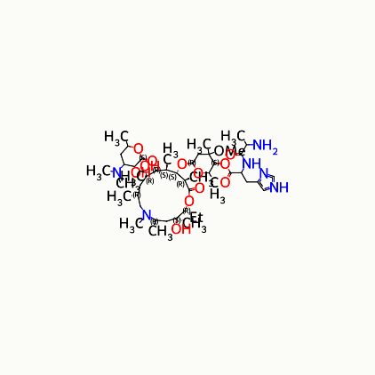 CC[C@H]1OC(=O)[C@H](C)[C@@H](O[C@H]2CC(C)(OC)[C@@H](OC(=O)C(Cc3c[nH]cn3)NC(=O)C(C)N)C(C)O2)[C@H](C)[C@@H](O[C@@H]2OC(C)CC(N(C)C)C2O)[C@](C)(O)C[C@@H](C)CN(C)[C@H](C)C[C@]1(C)O